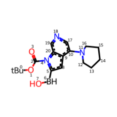 CC(C)(C)OC(=O)n1c(BO)cc2c(N3CCCCC3)cncc21